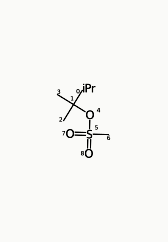 CC(C)C(C)(C)OS(C)(=O)=O